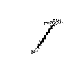 CO[Si](CCCCCCCCCCCCCCCCN=C=O)(OC)OC